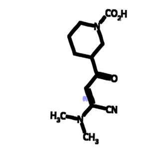 CN(C)/C(C#N)=C/C(=O)C1CCCN(C(=O)O)C1